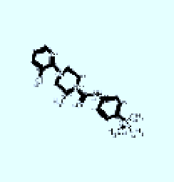 C[C@H]1CN(c2ncccc2Cl)CCN1C(=O)Nc1ccc([Si](C)(C)C)cc1